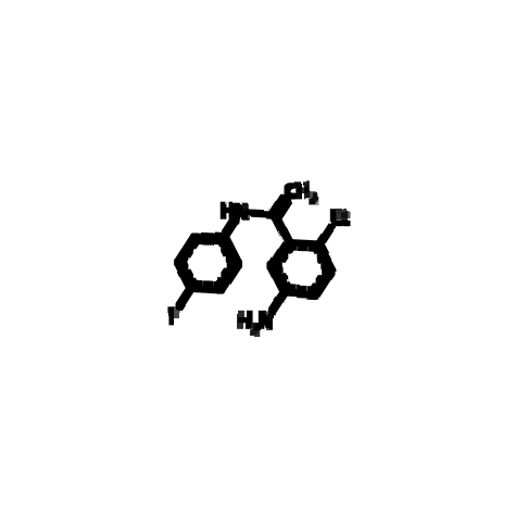 C=C(Nc1ccc(F)cc1)c1cc(N)ccc1CC